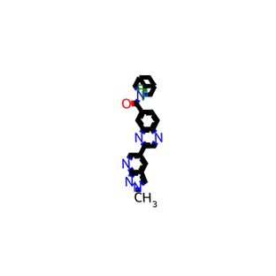 Cn1cc2cc(-c3cnc4ccc(C(=O)N5CC6CC(C5)C6(F)F)cc4n3)cnc2n1